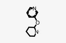 c1cncc(OC2CCCC[N]2)c1